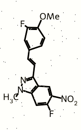 COc1ccc(/C=C/c2nn(C)c3cc(F)c([N+](=O)[O-])cc23)cc1F